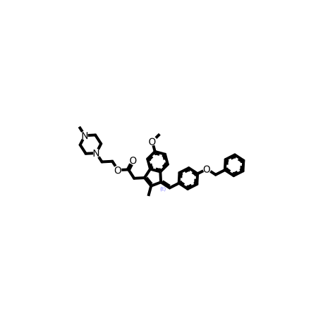 COc1ccc2c(c1)C(CC(=O)OCCN1CCN(C)CC1)=C(C)/C2=C/c1ccc(OCc2ccccc2)cc1